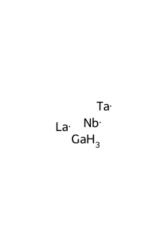 [GaH3].[La].[Nb].[Ta]